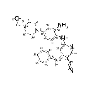 CCN1CCN(c2ccc(Nc3cc(Nc4ccccc4)c(C#N)cn3)c(N)c2)CC1